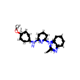 Cc1nc2ccccc2n1-c1cccc(Nc2ccc(OC(F)(F)F)cc2)n1